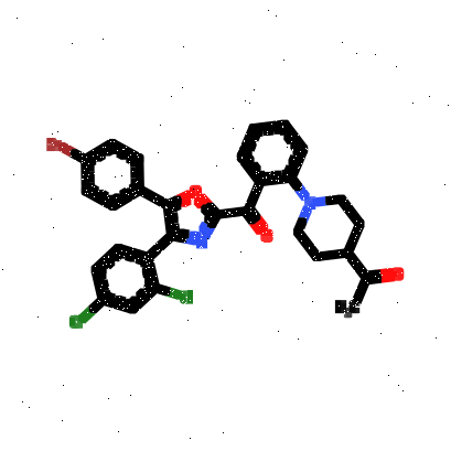 CC(=O)C1CCN(c2ccccc2C(=O)c2nc(-c3ccc(Cl)cc3Cl)c(-c3ccc(Br)cc3)o2)CC1